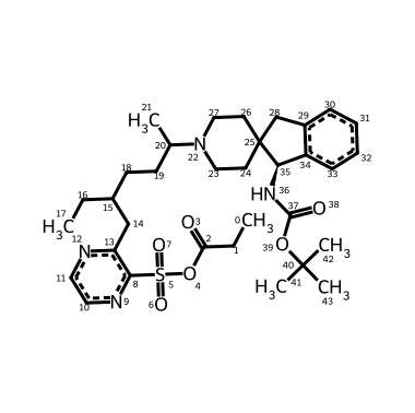 CCC(=O)OS(=O)(=O)c1nccnc1CC(CC)CCC(C)N1CCC2(CC1)Cc1ccccc1[C@H]2NC(=O)OC(C)(C)C